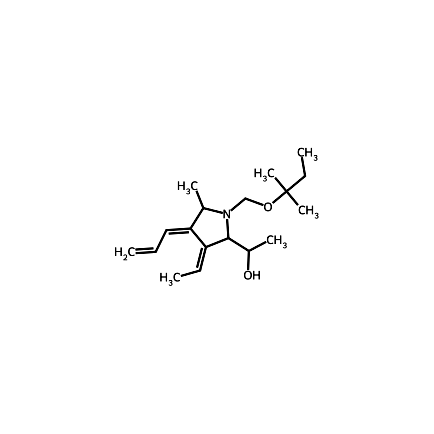 C=C/C=C1\C(=C/C)C(C(C)O)N(COC(C)(C)CC)C1C